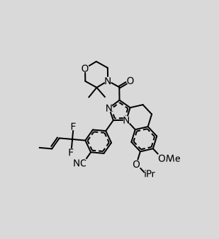 C/C=C/C(F)(F)c1cc(-c2nc(C(=O)N3CCOCC3(C)C)c3n2-c2cc(OC(C)C)c(OC)cc2CC3)ccc1C#N